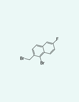 Fc1ccc2c(Br)c(CBr)ccc2c1